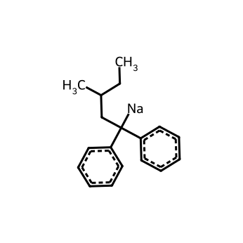 CCC(C)C[C]([Na])(c1ccccc1)c1ccccc1